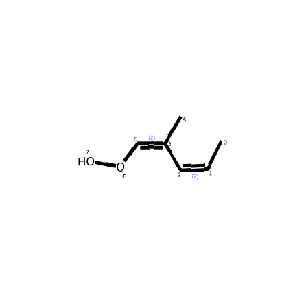 C/C=C\C(C)=C/OO